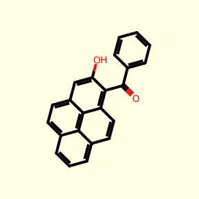 O=C(c1ccccc1)c1c(O)cc2ccc3cccc4ccc1c2c34